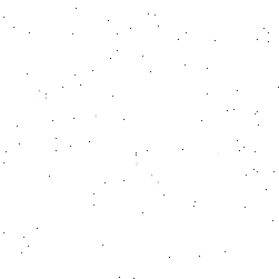 C=C(C)C(=C/C)/N=C(C)/C(/C=C\C)=C/N=C\C